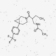 CCC(=O)NCC(CC)C(=O)N1CCC2(c3ccc(C(F)(F)F)cc3)CC2C1